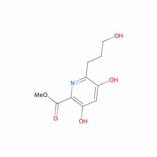 COC(=O)c1nc(CCCO)c(O)cc1O